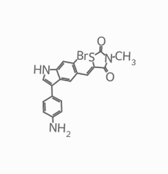 CN1C(=O)S/C(=C\c2cc3c(-c4ccc(N)cc4)c[nH]c3cc2Br)C1=O